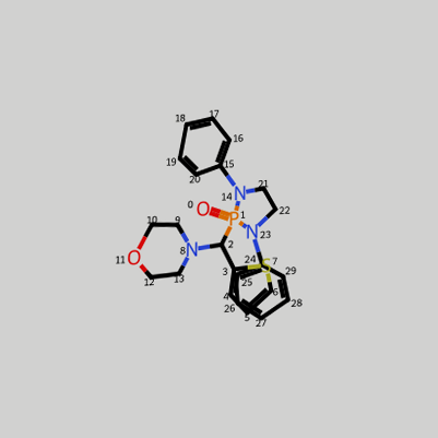 O=P1(C(c2cccs2)N2CCOCC2)N(c2ccccc2)CCN1c1ccccc1